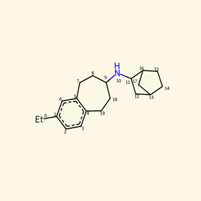 CCc1ccc2c(c1)CCC(NC1CC3CCC1C3)CC2